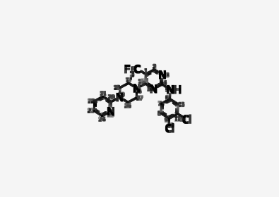 FC(F)(F)c1cnc(Nc2ccc(Cl)c(Cl)c2)nc1N1CCN(c2ccccn2)CC1